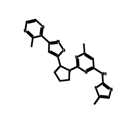 Cc1cc(Nc2ncc(C)s2)nc(N2CCCC2c2cc(-c3nccnc3C)no2)n1